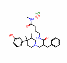 CNC(=O)CCCNC(=O)C(Cc1ccccc1)CN1CCC(C)(c2cccc(O)c2)C(C)C1.Cl.O